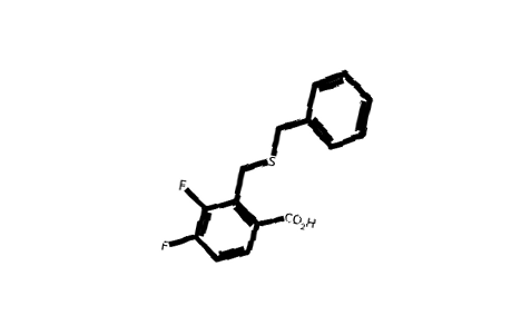 O=C(O)c1ccc(F)c(F)c1CSCc1ccccc1